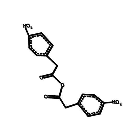 O=C(Cc1ccc([N+](=O)[O-])cc1)OC(=O)Cc1ccc([N+](=O)[O-])cc1